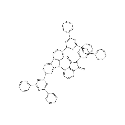 O=C1c2cccc(-n3c4cc(-c5nc(-c6ccccc6)nc(-c6ccccc6)n5)ccc4c4ccc(-c5nc(-c6ccccc6)nc(-c6ccccc6)n5)cc43)c2C(=O)N1c1cccc(-c2ccccc2)c1